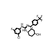 O=C(/N=C(/Nc1cc(F)cc(Cl)c1)N[C@H]1CC[C@H](O)CC1)c1ccc(C(F)(F)F)cc1